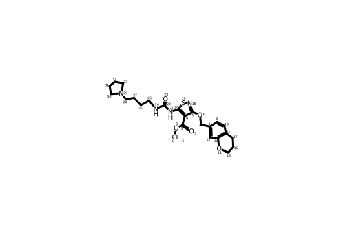 COC(=O)c1c(OCc2ccc3c(c2)OCCC3)nsc1NC(=O)NCCCCN1CCCC1